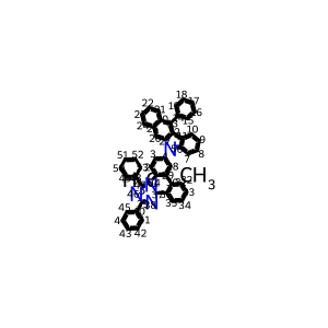 Cc1ccc(-n2c3ccccc3c3c(-c4ccccc4)c4ccccc4cc32)cc1-c1c(C)cccc1-c1nc(-c2ccccc2)nc(C2C=CC=CC2)n1